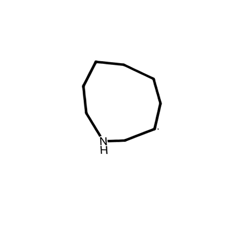 [CH]1CCCCCCNC1